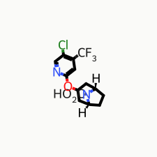 O=C(O)N1[C@@H]2CC[C@H]1CC(Oc1cc(C(F)(F)F)c(Cl)cn1)C2